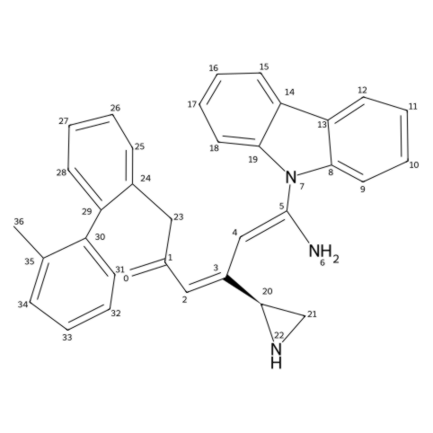 C=C(/C=C(\C=C(/N)n1c2ccccc2c2ccccc21)[C@H]1CN1)Cc1ccccc1-c1ccccc1C